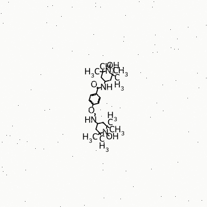 CC1(C)CC(NCOc2ccc(C(=O)NC3CC(C)(C)N(O)C(C)(C)C3)cc2)CC(C)(C)N1O